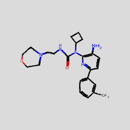 Nc1ccc(-c2cccc(C(F)(F)F)c2)nc1N(C(=O)NCCN1CCOCC1)C1CCC1